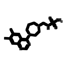 Cc1cc2ncnc(N3CCCN(CNS(N)(=O)=O)CC3)c2cc1C